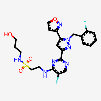 O=S(=O)(CCNc1nc(-c2cc(-c3ccon3)n(Cc3ccccc3F)n2)ncc1F)NCCCO